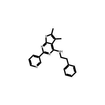 Cc1sc2nc(-c3cccnc3)nc(NCCc3ccccc3)c2c1C